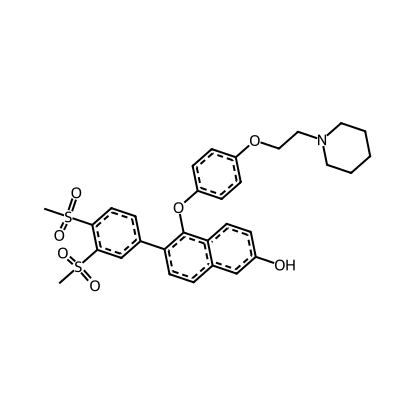 CS(=O)(=O)c1ccc(-c2ccc3cc(O)ccc3c2Oc2ccc(OCCN3CCCCC3)cc2)cc1S(C)(=O)=O